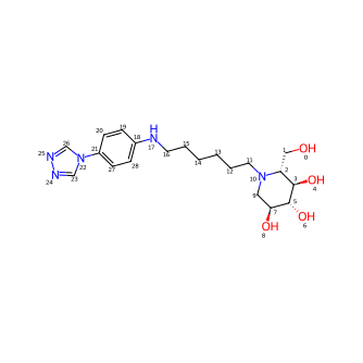 OC[C@@H]1[C@@H](O)[C@H](O)[C@@H](O)CN1CCCCCCNc1ccc(-n2cnnc2)cc1